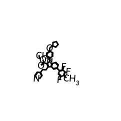 CCOC(=O)c1c(CCc2ccncc2)c2cc(-c3cc(F)c(C)c(F)c3F)ccc2n1-c1ccc(OC2CCCC2)cc1